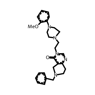 COc1ccccc1N1CCN(CCn2cnc3c(c2=O)CN(Cc2ccccc2)CC3)CC1